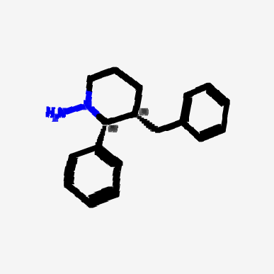 NN1CCC[C@H](Cc2ccccc2)[C@@H]1c1ccccc1